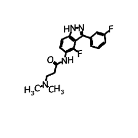 CN(C)CCC(=O)Nc1ccc2[nH]nc(-c3cccc(F)c3)c2c1F